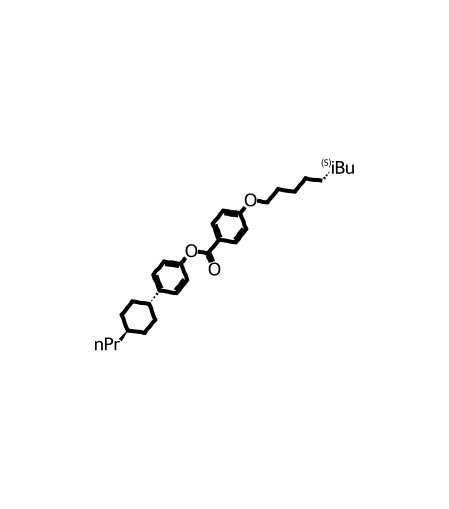 CCC[C@H]1CC[C@H](c2ccc(OC(=O)c3ccc(OCCCCC[C@@H](C)CC)cc3)cc2)CC1